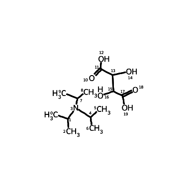 CC(C)N(C(C)C)C(C)C.O=C(O)C(O)C(O)C(=O)O